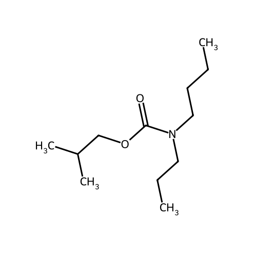 CCCCN(CCC)C(=O)OCC(C)C